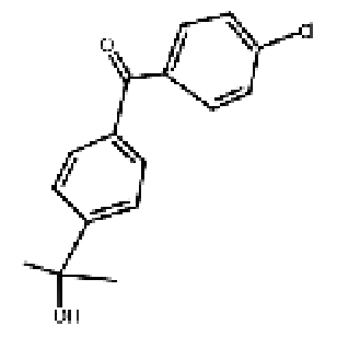 CC(C)(O)c1ccc(C(=O)c2ccc(Cl)cc2)cc1